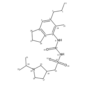 CCCc1cc2c(c(NC(=O)NS(=O)(=O)CC3CCN(C(C)C)C3)c1C)CCC2